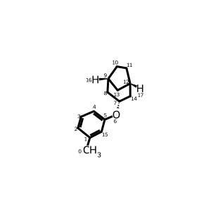 Cc1cccc(O[C@@H]2C[C@@H]3CC[C@@H](C3)C2)c1